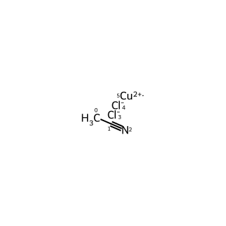 CC#N.[Cl-].[Cl-].[Cu+2]